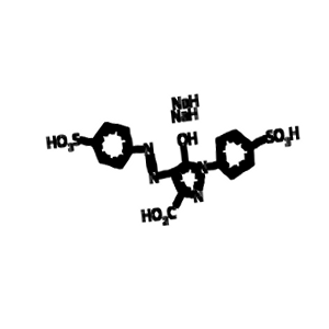 O=C(O)c1nn(-c2ccc(S(=O)(=O)O)cc2)c(O)c1N=Nc1ccc(S(=O)(=O)O)cc1.[NaH].[NaH]